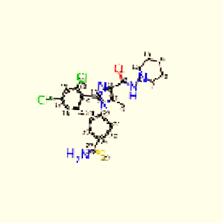 Cc1c(C(=O)NN2CCCCC2)nc(-c2ccc(Cl)cc2Cl)n1-c1ccc(C(N)=S)cc1